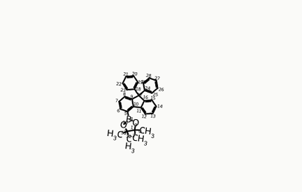 CC1(C)OB(c2cccc3c2-c2ccccc2C3(c2ccccc2)c2ccccc2)OC1(C)C